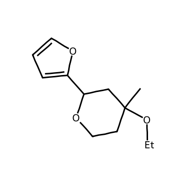 CCOC1(C)CCOC(c2ccco2)C1